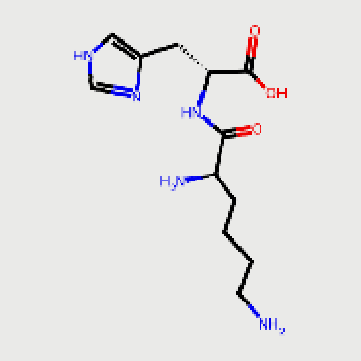 NCCCC[C@@H](N)C(=O)N[C@H](Cc1c[nH]cn1)C(=O)O